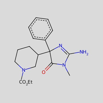 CCOC(=O)N1CCCC(C2(c3ccccc3)N=C(N)N(C)C2=O)C1